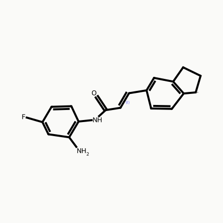 Nc1cc(F)ccc1NC(=O)/C=C/c1ccc2c(c1)CC[CH]2